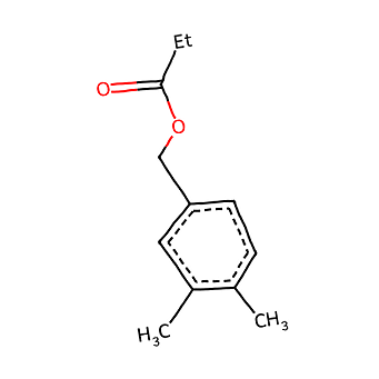 CCC(=O)OCc1ccc(C)c(C)c1